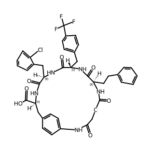 O=C1CCC(=O)N[C@H](CCc2ccccc2)C(=O)N[C@@H](Cc2ccc(C(F)(F)F)cc2)C(=O)N[C@H](Cc2ccccc2Cl)C(=O)N[C@H](C(=O)O)Cc2ccc(cc2)N1